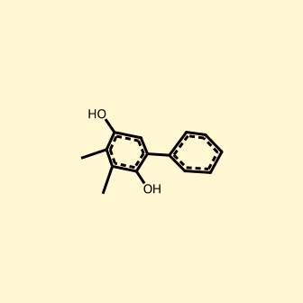 Cc1c(O)cc(-c2ccccc2)c(O)c1C